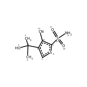 CC(C)(O)c1csc(S(N)(=O)=O)c1C#N